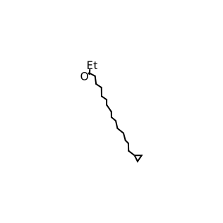 CCC(=O)CCCCCCCCCCCCCCC1CC1